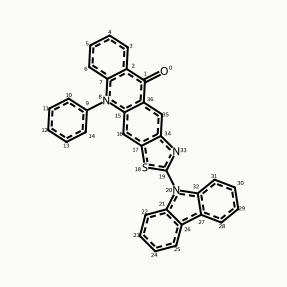 O=c1c2ccccc2n(-c2ccccc2)c2cc3sc(-n4c5ccccc5c5ccccc54)nc3cc12